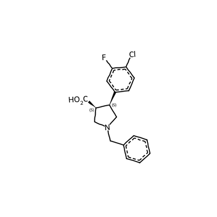 O=C(O)[C@@H]1CN(Cc2ccccc2)C[C@@H]1c1ccc(Cl)c(F)c1